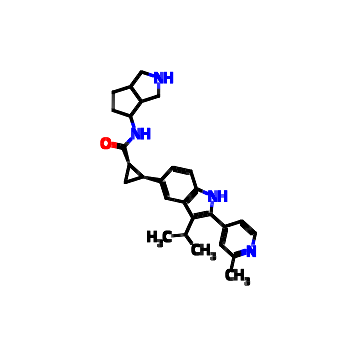 Cc1cc(-c2[nH]c3ccc([C@H]4C[C@H]4C(=O)NC4CCC5CNCC54)cc3c2C(C)C)ccn1